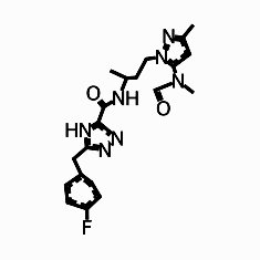 Cc1cc(N(C)C=O)n(CCC(C)NC(=O)c2nnc(Cc3ccc(F)cc3)[nH]2)n1